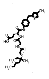 CCCCC(C)(CC)SCC(=O)NCC(=O)N[C@@H](CCC(=O)O)C(=O)Nc1ccc(Cc2cc(C)cs2)cc1